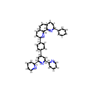 c1ccc(-c2ccc3ccc4ccc(-c5ccc(-c6cc(-c7ccccn7)nc(-c7ccccn7)c6)cc5)nc4c3n2)cc1